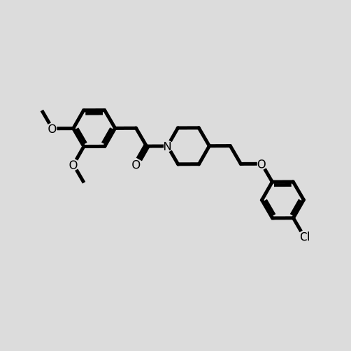 COc1ccc(CC(=O)N2CCC(CCOc3ccc(Cl)cc3)CC2)cc1OC